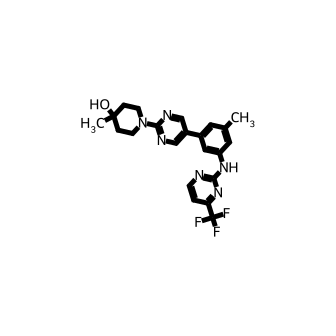 Cc1cc(Nc2nccc(C(F)(F)F)n2)cc(-c2cnc(N3CCC(C)(O)CC3)nc2)c1